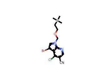 C[Si](C)(C)CCOCn1cc(Br)c2c(Cl)c(C#N)cnc21